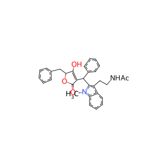 CC(=O)NCCc1c(C(C2=C(O)C(Cc3ccccc3)OC2=O)c2ccccc2)n(C)c2ccccc12